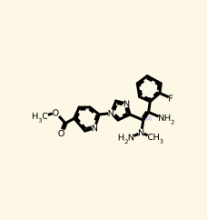 COC(=O)c1ccc(-n2cnc(/C(=C(/N)c3ccccc3F)N(C)N)c2)nc1